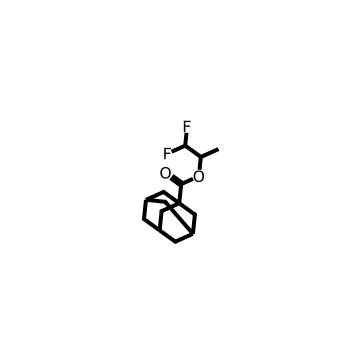 CC(OC(=O)C12CC3CC(CC(C3)C1)C2)C(F)F